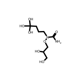 NC(=O)N(CCCC(O)(O)O)OCC(O)CO